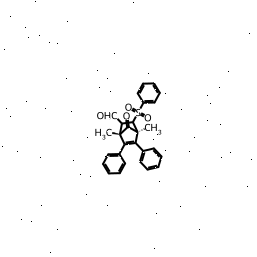 C[C@@]12C(=O)[C@](C)(C(c3ccccc3)=C1c1ccccc1)C(S(=O)(=O)c1ccccc1)C2C=O